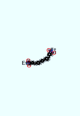 CCN1C(=O)c2ccc(Cc3ccc(-c4ccc(-c5ccc(Cc6ccc7c(c6)C(=O)N(CC)C7=O)cc5)cc4)cc3)cc2C1=O